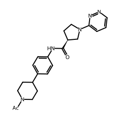 CC(=O)N1CCC(c2ccc(NC(=O)[C@H]3CCN(c4cccnn4)C3)cc2)CC1